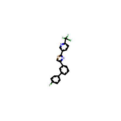 Fc1ccc(-c2cccc(-c3csc(-c4ccc(C(F)(F)F)nc4)n3)c2)cc1